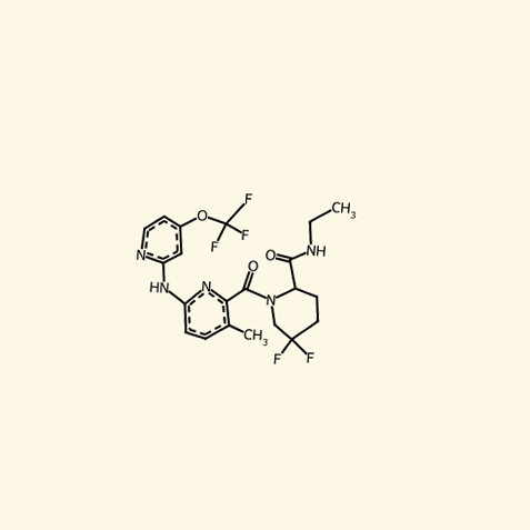 CCNC(=O)C1CCC(F)(F)CN1C(=O)c1nc(Nc2cc(OC(F)(F)F)ccn2)ccc1C